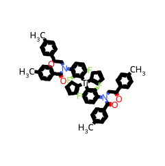 Cc1ccc(C(=O)CN(C(=O)c2ccc(C)cc2)c2ccc(F)[c]([Ti]([C]3=CC=CC3)([C]3=CC=CC3)[c]3c(F)ccc(N(CC(=O)c4ccc(C)cc4)C(=O)c4ccc(C)cc4)c3F)c2F)cc1